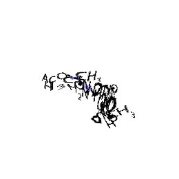 CC(=O)OC/C(C)=C(\C)C(=O)/N=C(\N)N1CCC(CNC(=O)[C@@H]2CCCN2C(=O)[C@@H](Cc2ccccc2)NS(C)(=O)=O)CC1